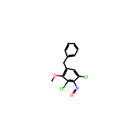 COc1c(Cc2ccccc2)cc(Cl)c(N=O)c1Cl